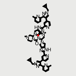 Cc1cccc(-c2nn(CC3CC3)cc2-c2ccnc(-c3nc4c([nH]3)CN(C3CN(C)CCN3C(=O)N3CCN(C)CC3N3Cc5nc(-c6cc(-c7cn(CC8CC8)nc7-c7cccc(C)n7)ccn6)[nH]c5C3)C4)c2)n1